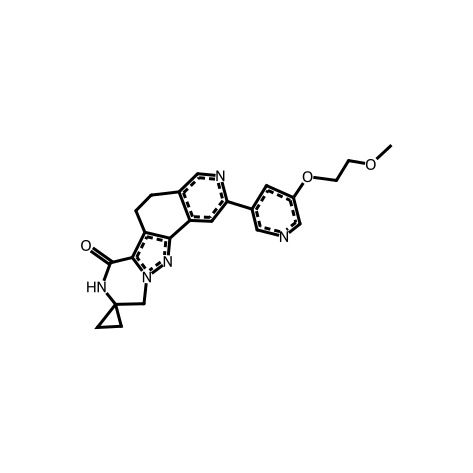 COCCOc1cncc(-c2cc3c(cn2)CCc2c-3nn3c2C(=O)NC2(CC2)C3)c1